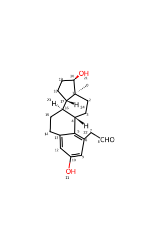 C[C@]12CC[C@@H]3c4c(CC=O)cc(O)cc4CC[C@H]3[C@@H]1CC[C@H]2O